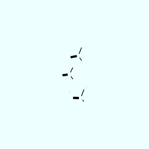 O=[Si](O)O.O=[Si](O)O.O=[Si](O)O.[LiH].[LiH].[Li]